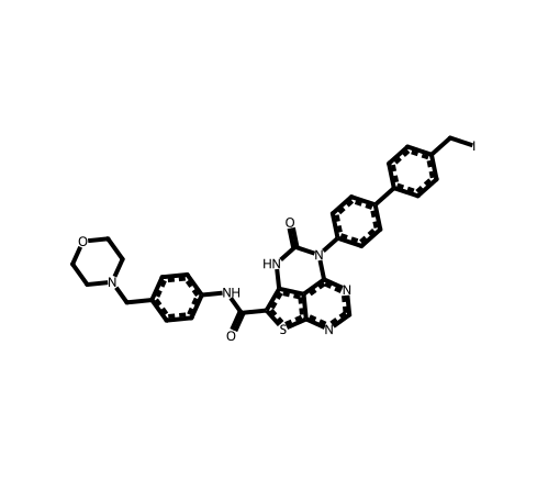 O=C(Nc1ccc(CN2CCOCC2)cc1)c1sc2ncnc3c2c1NC(=O)N3c1ccc(-c2ccc(CI)cc2)cc1